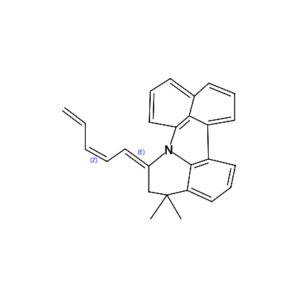 C=C/C=C\C=C1/CC(C)(C)c2cccc3c2N1c1cccc2cccc-3c12